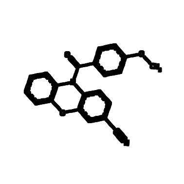 COc1ccc(C(=O)N2c3ccccc3Oc3cc(C#N)ccc32)cc1